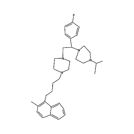 Cc1ccc2ccccc2c1CCCCN1CCN(CC(c2ccc(F)cc2)N2CCN(C(C)C)CC2)CC1